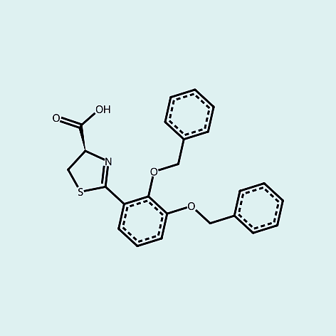 O=C(O)[C@@H]1CSC(c2cccc(OCc3ccccc3)c2OCc2ccccc2)=N1